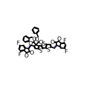 O=C1C(=O)c2c(F)cc(F)cc2/C1=C/C1=Cc2sc3c(sc4cc(/C=C5\C(=O)C(=O)c6c(F)cc(F)cc65)sc43)c2C1(C(=O)OCc1ccccc1)C(=O)OCc1ccccc1